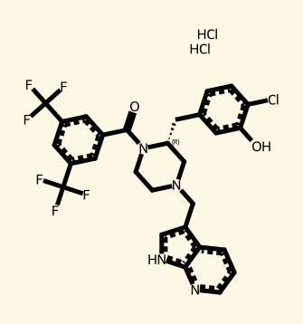 Cl.Cl.O=C(c1cc(C(F)(F)F)cc(C(F)(F)F)c1)N1CCN(Cc2c[nH]c3ncccc23)C[C@H]1Cc1ccc(Cl)c(O)c1